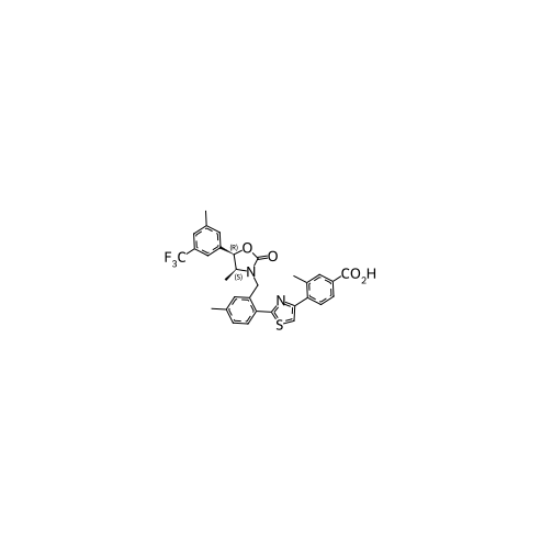 Cc1cc([C@H]2OC(=O)N(Cc3cc(C)ccc3-c3nc(-c4ccc(C(=O)O)cc4C)cs3)[C@H]2C)cc(C(F)(F)F)c1